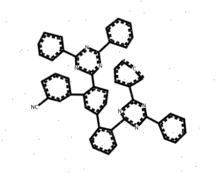 N#Cc1cccc(-c2cc(-c3ccccc3-c3nc(-c4ccccc4)nc(-c4ccccc4)n3)ccc2-c2nc(-c3ccccc3)nc(-c3ccccc3)n2)c1